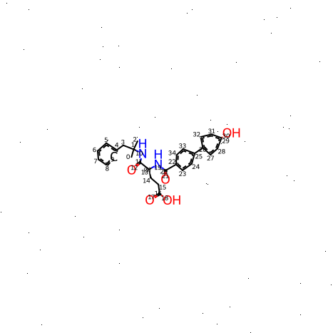 CC(C)(Cc1ccccc1)NC(=O)[C@H](CCC(=O)O)NC(=O)c1ccc(-c2ccc(O)cc2)cc1